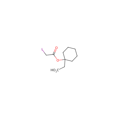 O=C(O)CC1(OC(=O)CI)CCCCC1